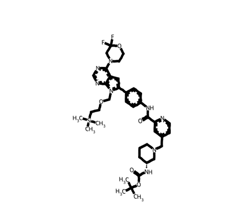 CC(C)(C)OC(=O)N[C@@H]1CCCN(Cc2ccnc(C(=O)Nc3ccc(-c4cc5c(N6CCOC(F)(F)C6)ncnc5n4COCC[Si](C)(C)C)cc3)c2)C1